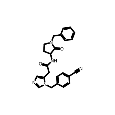 N#Cc1ccc(Cn2cncc2CC(=O)NC2CCN(Cc3ccccc3)C2=O)cc1